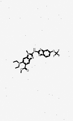 CCN(CC)c1cc2c(cc1C(=O)OC)nc(Nc1nc3ccc(OC(F)(F)F)cc3s1)n2C